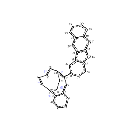 C1=C\C2=c3/cccc/c3=C/C(c3ccc4oc5nc6ccccc6cc5c4c3)=C(/C=C/1)CC2